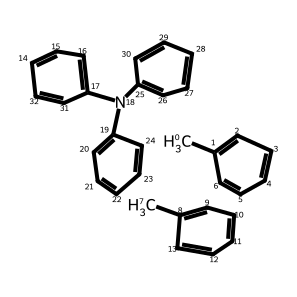 Cc1ccccc1.Cc1ccccc1.c1ccc(N(c2ccccc2)c2ccccc2)cc1